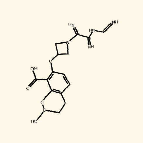 N=CNC(=N)C(=N)N1CC(Oc2ccc3c(c2C(=O)O)OB(O)CC3)C1